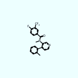 Cc1ccccc1-c1ccncc1N(C)C(=O)c1ccc(F)c(C(F)(F)F)c1